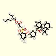 CCCC[C@@H](CC)COC(=O)CCS(=O)(=O)c1ccc(C)cc1O[C@H]1CCC[C@@H](CO[Si](c2ccccc2)(c2ccccc2)C(C)(C)C)C1